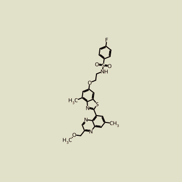 COCc1cnc2c(-c3nc4c(C)cc(OCCNS(=O)(=O)c5ccc(F)cc5)cc4s3)cc(C)cc2n1